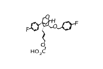 O=C(O)COC/C=C/C[C@H]1[C@H](COCc2ccc(F)cc2)[C@@H]2C[C@@]1(c1ccc(F)cc1)CO2